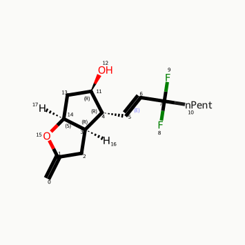 C=C1C[C@@H]2[C@@H](/C=C/C(F)(F)CCCCC)[C@H](O)C[C@@H]2O1